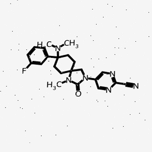 CN1C(=O)N(c2cnc(C#N)nc2)CC12CCC(c1cccc(F)c1)(N(C)C)CC2